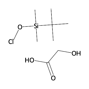 CC(C)(C)[Si](C)(C)OCl.O=C(O)CO